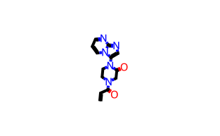 C=CC(=O)N1CCN(c2cnc3ncccn23)C(=O)C1